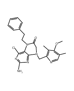 COc1c(C)cnc(CN2CC(=O)N(CCc3ccccc3)c3c(Cl)nc(N)nc32)c1C